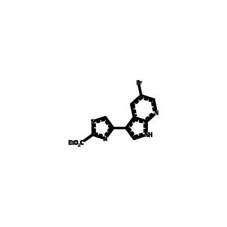 CCOC(=O)c1nc(-c2c[nH]c3ncc(Br)cc23)cs1